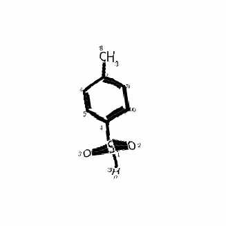 [3H]S(=O)(=O)c1ccc(C)cc1